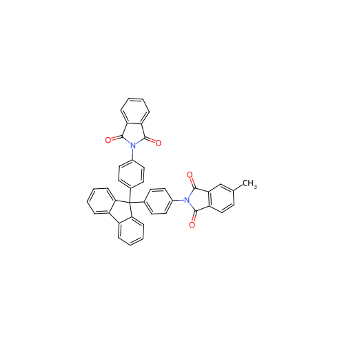 Cc1ccc2c(c1)C(=O)N(c1ccc(C3(c4ccc(N5C(=O)c6ccccc6C5=O)cc4)c4ccccc4-c4ccccc43)cc1)C2=O